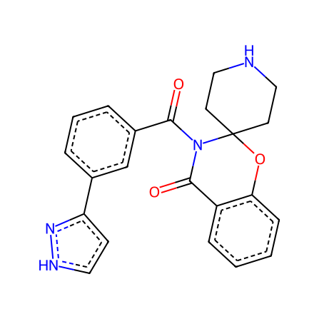 O=C(c1cccc(-c2cc[nH]n2)c1)N1C(=O)c2ccccc2OC12CCNCC2